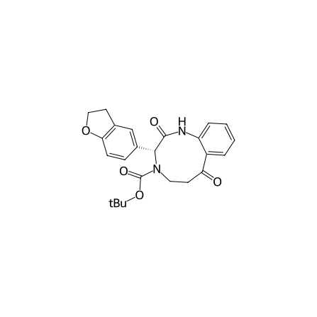 CC(C)(C)OC(=O)N1CCC(=O)c2ccccc2NC(=O)[C@H]1c1ccc2c(c1)CCO2